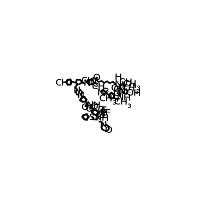 Cc1ncsc1-c1ccc([C@H](C)NC(=O)[C@@H]2C[C@@H](O)CN2C(=O)[C@@H](NC(=O)CCCCCCC(=O)N2CCN(C[C@]3(C)CCC(c4ccc(Cl)cc4)=C(CN4CCN(c5ccc(C(=O)NS(=O)(=O)c6ccc(N[C@H](CCN7CCCOCC7)CSc7ccccc7)c(S(=O)(=O)C(F)(F)F)c6)cc5)CC4)C3)C[C@@H]2C)C(C)(C)C)cc1